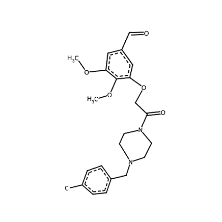 COc1cc(C=O)cc(OCC(=O)N2CCN(Cc3ccc(Cl)cc3)CC2)c1OC